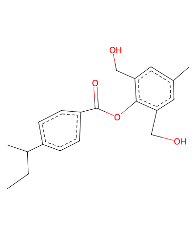 CCC(C)c1ccc(C(=O)Oc2c(CO)cc(C)cc2CO)cc1